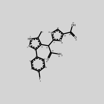 Cc1[nH]nc(-c2ccc(F)cc2)c1C(C(N)=O)c1nc(C(=O)O)cs1